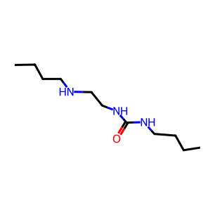 CCCCNCCNC(=O)NCCCC